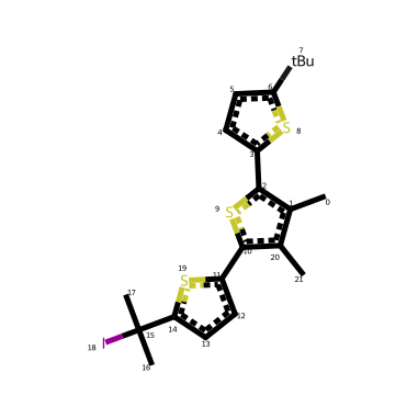 Cc1c(-c2ccc(C(C)(C)C)s2)sc(-c2ccc(C(C)(C)I)s2)c1C